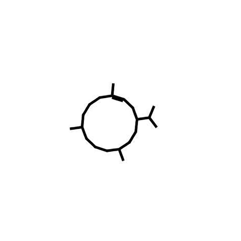 C/C1=C/CC(C(C)C)CCC(C)CCCC(C)CCC1